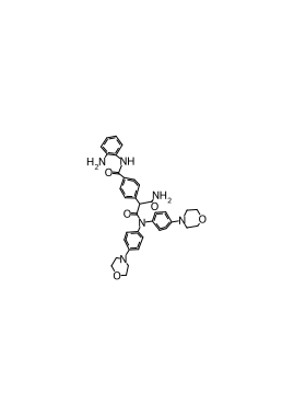 NC(=O)C(C(=O)N(c1ccc(N2CCOCC2)cc1)c1ccc(N2CCOCC2)cc1)c1ccc(C(=O)Nc2ccccc2N)cc1